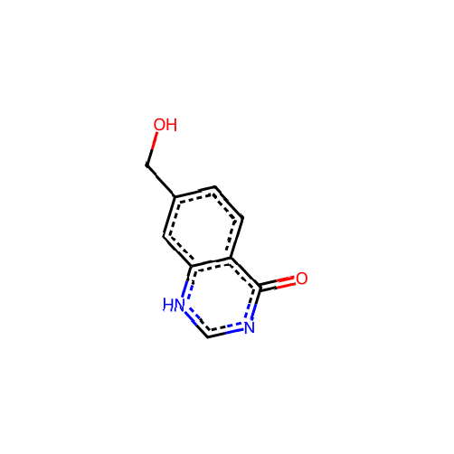 O=c1nc[nH]c2cc(CO)ccc12